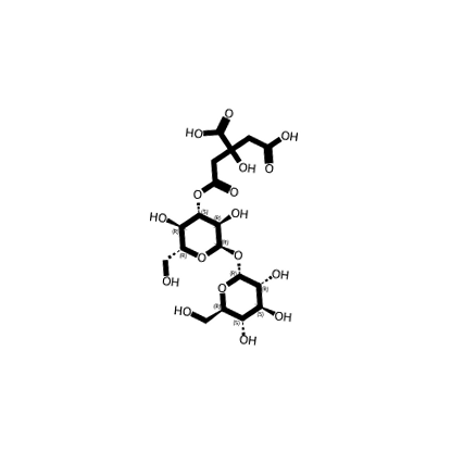 O=C(O)CC(O)(CC(=O)O[C@@H]1[C@@H](O)[C@@H](O[C@H]2O[C@H](CO)[C@@H](O)[C@H](O)[C@H]2O)O[C@H](CO)[C@H]1O)C(=O)O